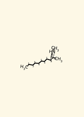 CCCCCCCCCN(C)CNC